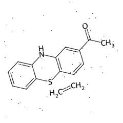 C=C.CC(=O)c1ccc2c(c1)Nc1ccccc1S2